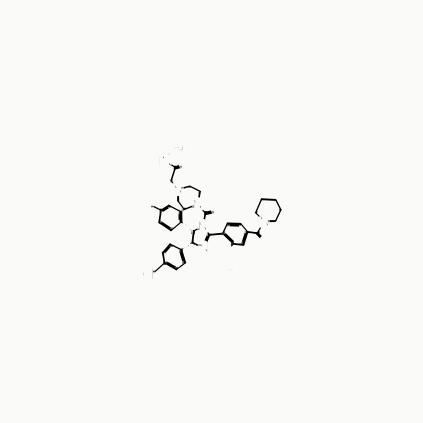 CCOc1cc(C(=O)N2CCCCC2)ccc1C1=N[C@@H](c2ccc(Cl)cc2)[C@@H](c2ccc(Cl)cc2)N1C(=O)N1CCN(CC(=O)NC(C)(C)C)CC1